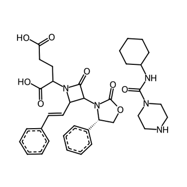 O=C(NC1CCCCC1)N1CCNCC1.O=C(O)CCC(C(=O)O)N1C(=O)C(N2C(=O)OC[C@@H]2c2ccccc2)C1C=Cc1ccccc1